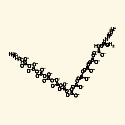 O.[H+].[H+].[H+].[H+].[H+].[H+].[H+].[H+].[H+].[H+].[H+].[H+].[MgH2].[O-]B([O-])[O-].[O-]B([O-])[O-].[O-]B([O-])[O-].[O-]B([O-])[O-].[O-]B([O-])[O-].[O-]B([O-])[O-].[O-]B([O-])[O-].[O-]B([O-])[O-].[O-]B([O-])[O-].[O-]B([O-])[O-].[O-]B([O-])[O-].[O-]B([O-])[O-]